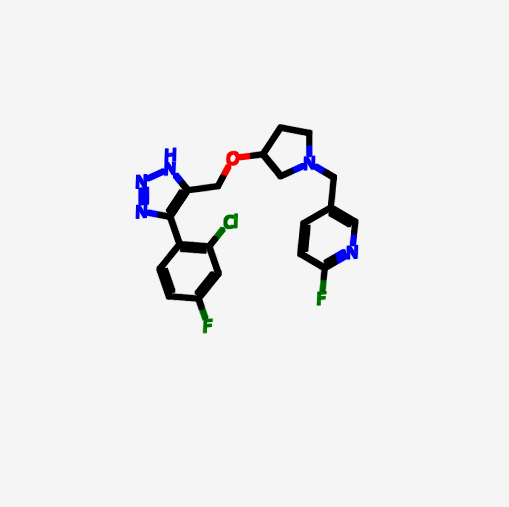 Fc1ccc(-c2nn[nH]c2COC2CCN(Cc3ccc(F)nc3)C2)c(Cl)c1